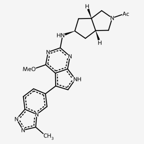 COc1nc(N[C@H]2C[C@@H]3CN(C(C)=O)C[C@@H]3C2)nc2[nH]cc(-c3ccc4nnc(C)n4c3)c12